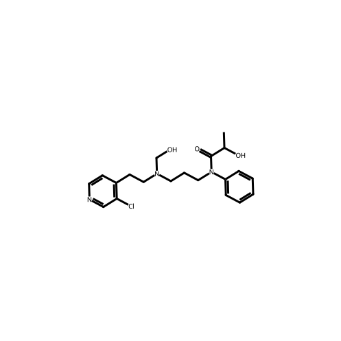 CC(O)C(=O)N(CCCN(CO)CCc1ccncc1Cl)c1ccccc1